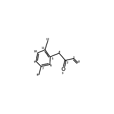 C=CC(=O)Cc1cc(C)ccc1C